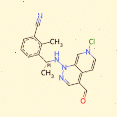 Cc1c(C#N)cccc1[C@@H](C)NN1N=CC(C=O)=C2C=CN(Cl)C=C21